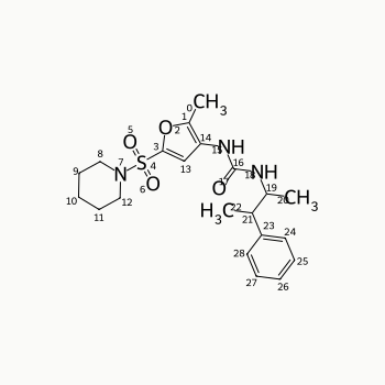 Cc1oc(S(=O)(=O)N2CCCCC2)cc1NC(=O)NC(C)C(C)c1ccccc1